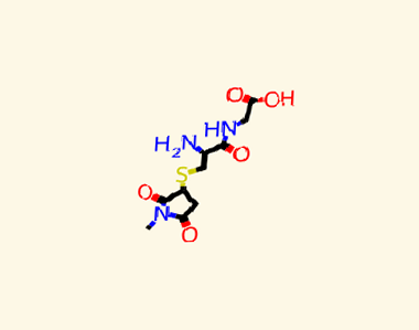 CN1C(=O)CC(SCC(N)C(=O)NCC(=O)O)C1=O